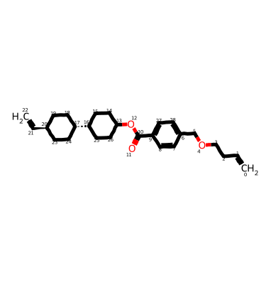 C=CCCOCc1ccc(C(=O)OC2CCC([C@H]3CC[C@H](C=C)CC3)CC2)cc1